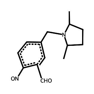 CC1CCC(C)N1Cc1ccc(N=O)c(C=O)c1